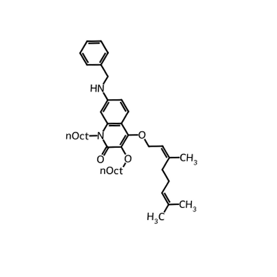 CCCCCCCCOc1c(OCC=C(C)CCC=C(C)C)c2ccc(NCc3ccccc3)cc2n(CCCCCCCC)c1=O